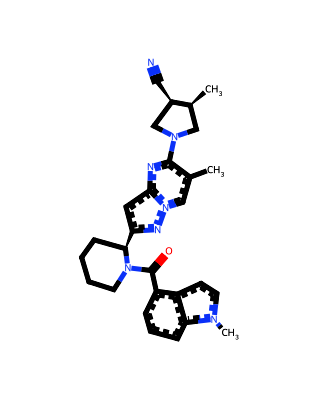 Cc1cn2nc([C@@H]3CCCCN3C(=O)c3cccc4c3ccn4C)cc2nc1N1C[C@@H](C#N)[C@@H](C)C1